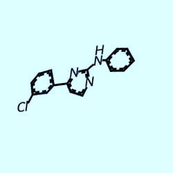 Clc1cccc(-c2ccnc(Nc3ccccc3)n2)c1